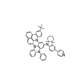 CC(C)(C)c1ccc(N2c3ccccc3B3c4ccccc4N(c4ccccc4)c4cc(N5c6ccc(-c7ccncc7)cc6C6(C)CCCCC56C)cc2c43)c(-c2ccccc2)c1